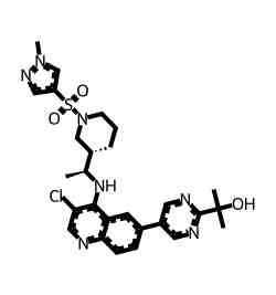 C[C@H](Nc1c(Cl)cnc2ccc(-c3cnc(C(C)(C)O)nc3)cc12)[C@H]1CCCN(S(=O)(=O)c2cnn(C)c2)C1